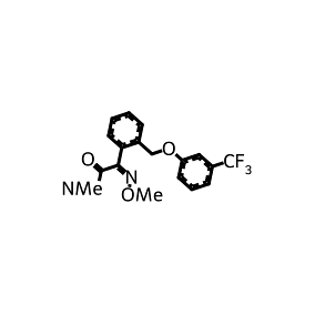 CNC(=O)C(=NOC)c1ccccc1COc1cccc(C(F)(F)F)c1